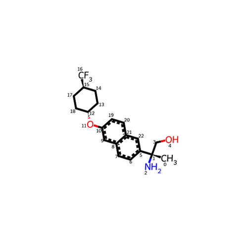 C[C@](N)(CO)c1ccc2cc(O[C@H]3CC[C@H](C(F)(F)F)CC3)ccc2c1